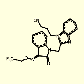 [C-]#[N+]CCCn1c(CN2C(=O)/C(=N/OCC(F)(F)F)c3ccccc32)nc2ccccc21